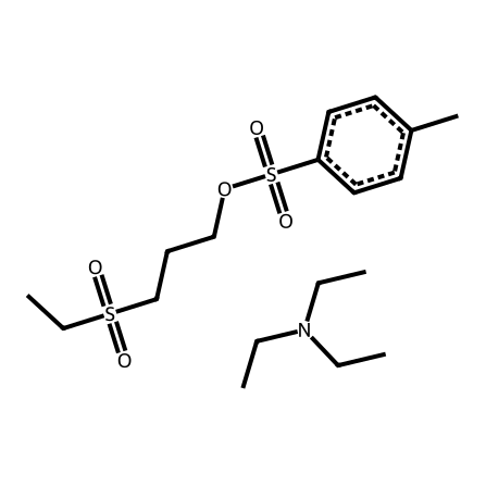 CCN(CC)CC.CCS(=O)(=O)CCCOS(=O)(=O)c1ccc(C)cc1